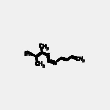 C=C/C=C/N=C\S[C@H](C)[C@@H](C)C(C)C